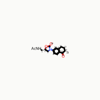 CC(=O)NC[C@H]1CN(c2ccc3c(c2)CC[C@H](C)C3=O)C(=O)O1